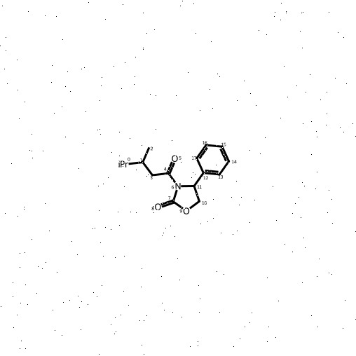 CC(C)C(C)CC(=O)N1C(=O)OCC1c1ccccc1